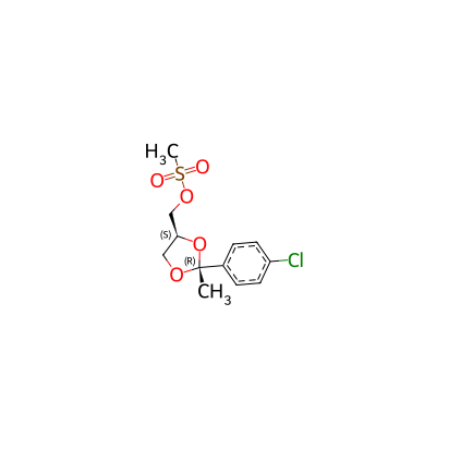 C[C@@]1(c2ccc(Cl)cc2)OC[C@@H](COS(C)(=O)=O)O1